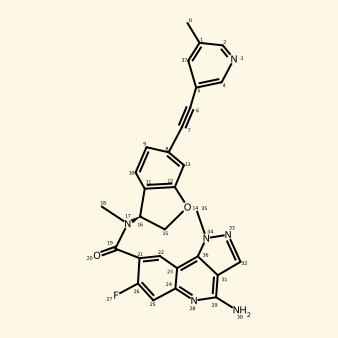 Cc1cncc(C#Cc2ccc3c(c2)OC[C@H]3N(C)C(=O)c2cc3c(cc2F)nc(N)c2cnn(C)c23)c1